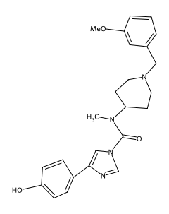 COc1cccc(CN2CCC(N(C)C(=O)n3cnc(-c4ccc(O)cc4)c3)CC2)c1